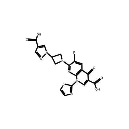 O=C(O)c1cnn(C2CN(c3nc4c(cc3F)c(=O)c(C(=O)O)cn4-c3nccs3)C2)c1